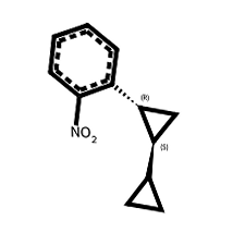 O=[N+]([O-])c1ccccc1[C@@H]1C[C@H]1C1CC1